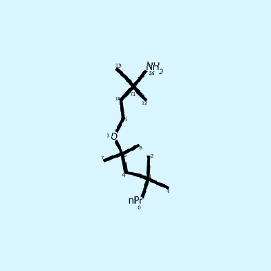 CCCC(C)(C)CC(C)(C)OCCC(C)(C)N